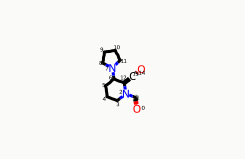 O=[C]N1CCCC(N2CCCC2)C1=C=O